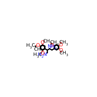 COc1cc(OC)c(OC)cc1CC(N)C(CN)c1cc(OC)c(OC(C)C)cc1OC